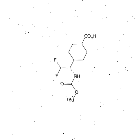 CC(C)(C)OC(=O)N[C@H](C(F)F)C1CCC(C(=O)O)CC1